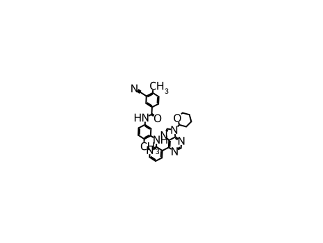 Cc1ccc(C(=O)Nc2ccc(C)c(Nc3ncccc3-c3ncnc4c3ncn4C3CCCCO3)c2)cc1C#N